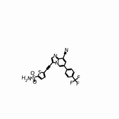 N#Cc1cc(-c2ccc(C(F)(F)F)cc2)cn2c(C#Cc3ccc(S(N)(=O)=O)s3)cnc12